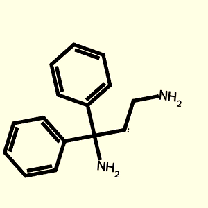 NC[C]C(N)(c1ccccc1)c1ccccc1